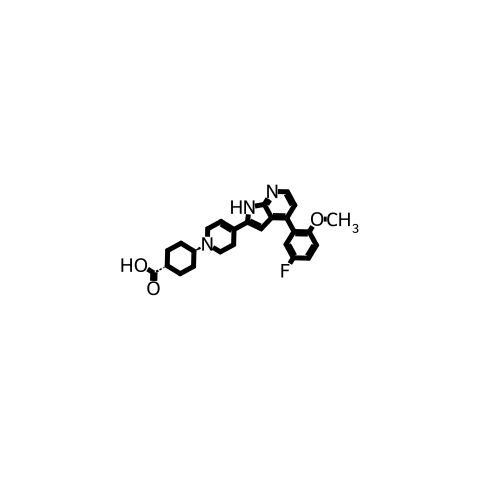 COc1ccc(F)cc1-c1ccnc2[nH]c(C3=CCN([C@H]4CC[C@@H](C(=O)O)CC4)CC3)cc12